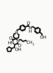 CCCCN1C(=O)[C@@H]([C@H](O)C2CCCC2)NC(=O)C12CCN(Cc1ccc(C(=O)NCc3ccc(CO)cc3)cc1)CC2